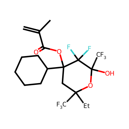 C=C(C)C(=O)OC1(C2CCCCC2)CC(CC)(C(F)(F)F)OC(O)(C(F)(F)F)C1(F)F